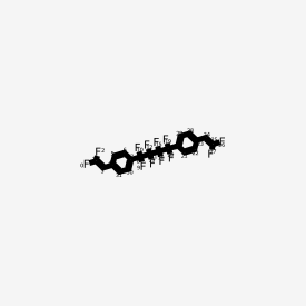 FC(F)=Cc1ccc(C(F)(F)C(F)(F)C(F)(F)C(F)(F)c2ccc(C=C(F)F)cc2)cc1